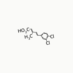 CC(/C=C/c1ccc(Cl)c(Cl)c1)=C\C(=O)O